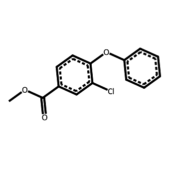 COC(=O)c1ccc(Oc2ccccc2)c(Cl)c1